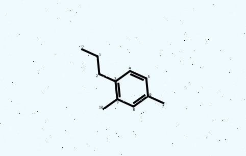 CCCc1ccc(C)cc1C